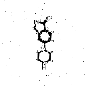 O=C1NCc2cc(N3CCNCC3)ccc21